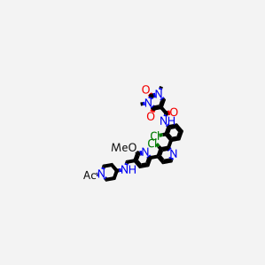 COc1nc(-c2ccnc(-c3cccc(NC(=O)c4cn(C)c(=O)n(C)c4=O)c3Cl)c2Cl)ccc1CNC1CCN(C(C)=O)CC1